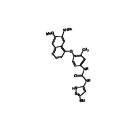 COc1cc2nccc(Oc3ccc(NC(=O)Nc4cc(C(C)(C)C)n[nH]4)cc3C)c2cc1NC(C)=O